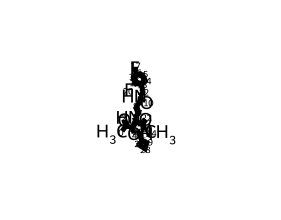 CC(=O)/C(O)=C(\N/C=C/C(=O)NCc1ccc(F)cc1F)C(=O)N(C)CC1CCC1